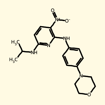 CC(C)Nc1ccc([N+](=O)[O-])c(Nc2ccc(N3CCOCC3)cc2)n1